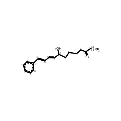 O=C(CCCCC(O)C=CC=Cc1ccccc1)NO